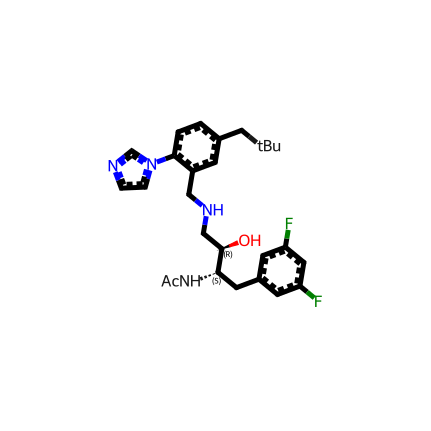 CC(=O)N[C@@H](Cc1cc(F)cc(F)c1)[C@H](O)CNCc1cc(CC(C)(C)C)ccc1-n1ccnc1